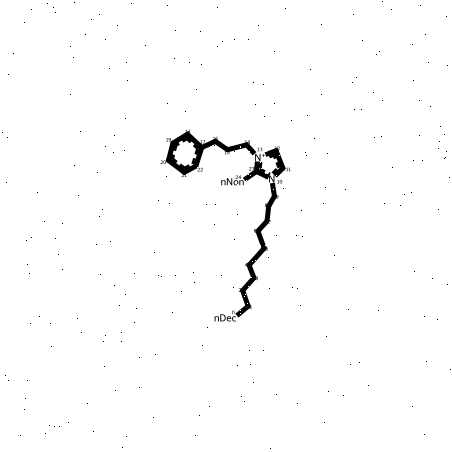 CCCCCCCCCCCCCCCCCCCn1cc[n+](CCCc2ccccc2)c1CCCCCCCCC